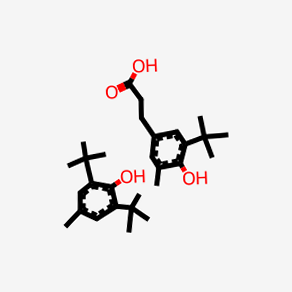 Cc1cc(C(C)(C)C)c(O)c(C(C)(C)C)c1.Cc1cc(CCC(=O)O)cc(C(C)(C)C)c1O